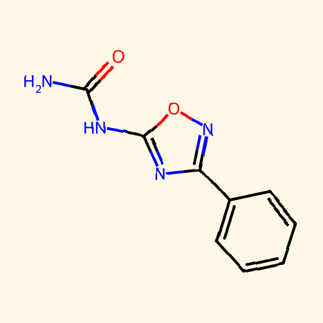 NC(=O)Nc1nc(-c2ccccc2)no1